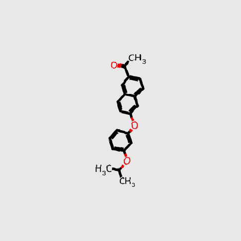 CC(=O)c1ccc2cc(Oc3cccc(OC(C)C)c3)ccc2c1